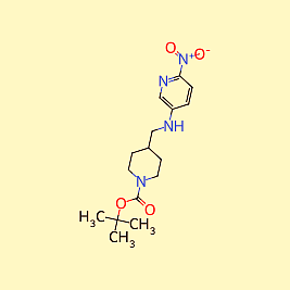 CC(C)(C)OC(=O)N1CCC(CNc2ccc([N+](=O)[O-])nc2)CC1